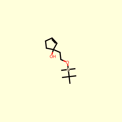 CC(C)(C)[Si](C)(C)OCCC1(O)C=CCC1